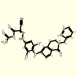 N#CC(=NNc1cc(Cl)c(Oc2ccc3c(c2)CCN(Cc2cccnn2)C3=O)c(Cl)c1)C(=O)OC(N)=O